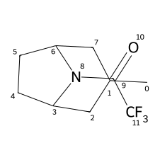 CC1CC2CCC(C1)N2C(=O)C(F)(F)F